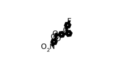 O=C(c1ccc(-c2ccccc2Oc2ccc(F)cc2)cc1)S(=O)(=O)c1ccc([N+](=O)[O-])cc1